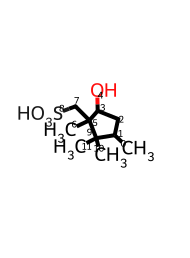 CC1CC(O)C(C)(CS(=O)(=O)O)C1(C)C